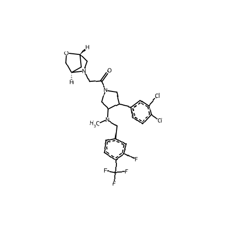 CN(Cc1ccc(C(F)(F)F)c(F)c1)C1CN(C(=O)CN2C[C@@H]3C[C@@H]2CO3)CC1c1ccc(Cl)c(Cl)c1